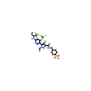 CCC(Nc1cc(OC(F)F)c(-c2c(Cl)c(C(=O)NCC3CCC(S(C)(=O)=O)CC3)nn2CC)cn1)C(F)(F)F